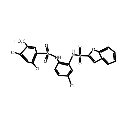 O=C(O)c1cc(S(=O)(=O)Nc2ccc(Cl)cc2NS(=O)(=O)c2cc3ccccc3o2)c(Cl)cc1Cl